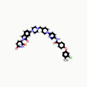 N#Cc1ccc(OC2CCC(C(=O)Nc3ccc(N4CCC(CN5CCN(c6ccc7c(c6)C(=O)N(C6CCC(=O)NC6=O)C7)CC5)CC4)nc3)CC2)cc1Cl